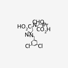 CC(C)CC(C(=O)O)N(C=O)C(Cc1cncn1Cc1cc(Cl)cc(Cl)c1)C(=O)O